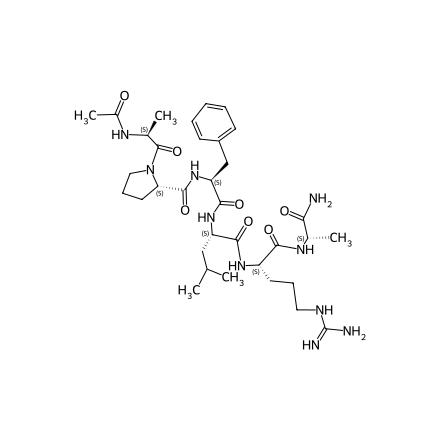 CC(=O)N[C@@H](C)C(=O)N1CCC[C@H]1C(=O)N[C@@H](Cc1ccccc1)C(=O)N[C@@H](CC(C)C)C(=O)N[C@@H](CCCNC(=N)N)C(=O)N[C@@H](C)C(N)=O